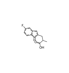 CC(Cc1cc2cc(F)ccc2[nH]1)C(=O)O